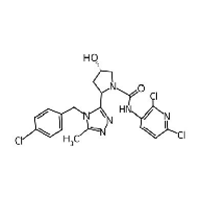 Cc1nnc(C2C[C@H](O)CN2C(=O)Nc2ccc(Cl)nc2Cl)n1Cc1ccc(Cl)cc1